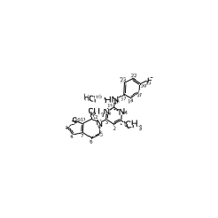 Cc1cc(N2CCc3ccsc3C2C)nc(Nc2ccc(F)cc2)n1.Cl